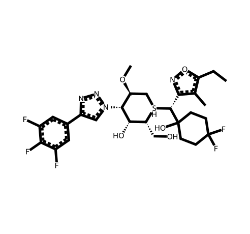 CCc1onc([C@@H]([SH]2C[C@H](OC)[C@@H](n3cc(-c4cc(F)c(F)c(F)c4)nn3)[C@@H](O)[C@H]2CO)C2(O)CCC(F)(F)CC2)c1C